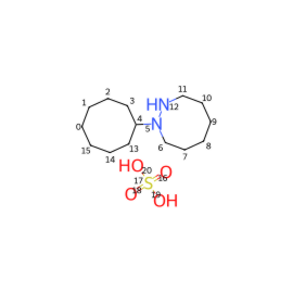 C1CCCC(N2CCCCCCN2)CCC1.O=S(=O)(O)O